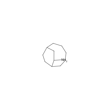 NC1CC2CCCCCC1CC2